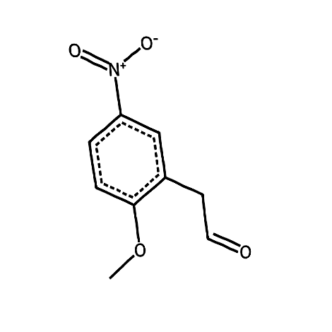 COc1ccc([N+](=O)[O-])cc1CC=O